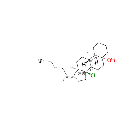 CC(C)CCC[C@@H](C)[C@H]1CC[C@@]2(Cl)[C@@H]3CCC4(O)CCCC[C@]4(C)[C@H]3CC[C@]12C